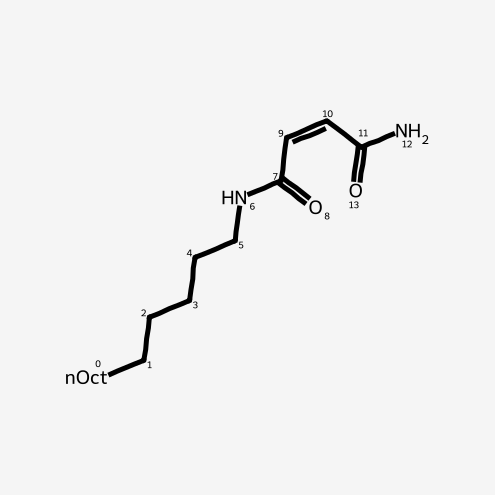 CCCCCCCCCCCCCNC(=O)/C=C\C(N)=O